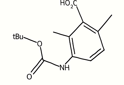 Cc1ccc(NC(=O)OC(C)(C)C)c(C)c1C(=O)O